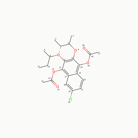 CCC(C)Oc1c(OC(C)CC)c(OC(C)=O)c2cc(Cl)ccc2c1OC(C)=O